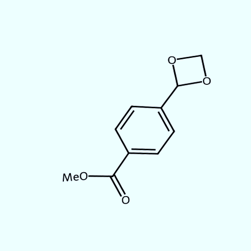 COC(=O)c1ccc(C2OCO2)cc1